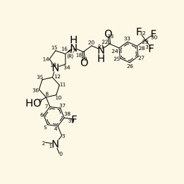 CN(C)Cc1ccc(C2(O)CCC(N3CC[C@@H](NC(=O)CNC(=O)c4cccc(C(F)(F)F)c4)C3)CC2)cc1F